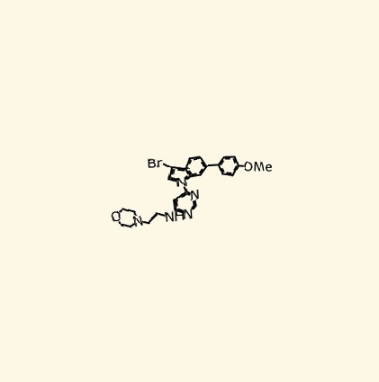 COc1ccc(-c2ccc3c(Br)cn(-c4cc(NCCN5CCOCC5)ncn4)c3c2)cc1